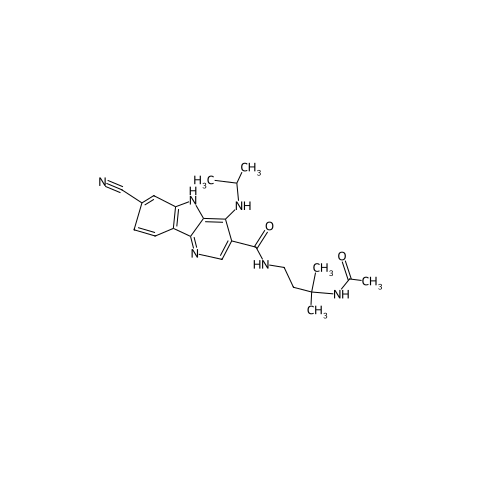 CC(=O)NC(C)(C)CCNC(=O)c1cnc2c([nH]c3cc(C#N)ccc32)c1NC(C)C